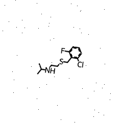 CC(C)NCCSCc1c(F)cccc1Cl